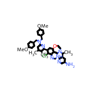 COc1ccc(CN(Cc2ccc(OC)cc2)c2cc(C)c(C(F)(F)F)c(-c3cc4c5c(c3Cl)=NCNC=5N(C(C)c3cncc(N)c3)C=CO4)n2)cc1